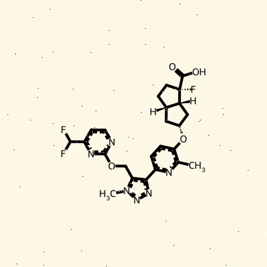 Cc1nc(-c2nnn(C)c2COc2nccc(C(F)F)n2)ccc1O[C@@H]1C[C@@H]2CC[C@@](F)(C(=O)O)[C@@H]2C1